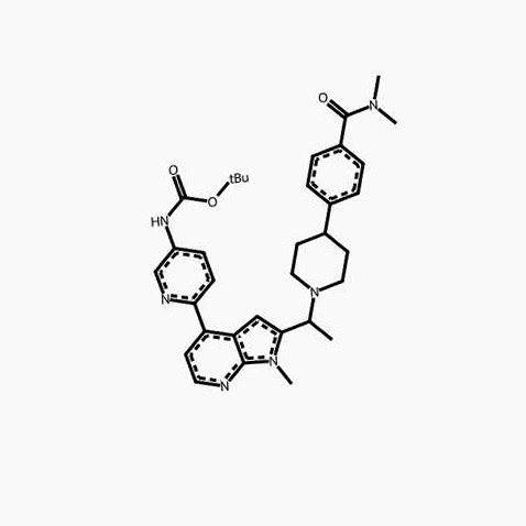 CC(c1cc2c(-c3ccc(NC(=O)OC(C)(C)C)cn3)ccnc2n1C)N1CCC(c2ccc(C(=O)N(C)C)cc2)CC1